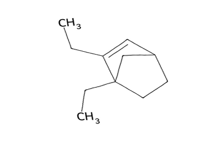 CCC1=CC2CCC1(CC)C2